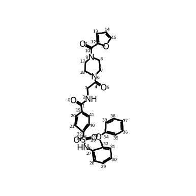 O=C(NCC(=O)N1CCN(C(=O)c2ccco2)CC1)c1ccc(S(=O)(=O)Nc2ccccc2Oc2ccccc2)cc1